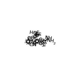 CSc1sc(C(=N)N)cc1S(=O)(=O)c1cc(Br)c2c(c1)ncn2Cc1c(Cl)cccc1Cl.O=C(O)C(F)(F)F